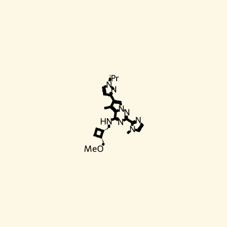 COC[C@@H]1CC[C@@H]1CNc1nc(-c2nccn2C)nn2cc(-c3ccn(C(C)C)n3)c(C)c12